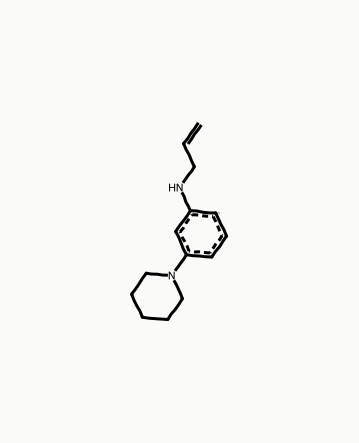 C=CCNc1[c]ccc(N2CCCCC2)c1